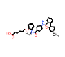 Cc1ccc(-c2ccccc2C(=O)Nc2ccc(C(=O)N(C)c3ccccc3OCCCCCC(=O)O)cc2)cc1